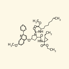 C=CCCCCCC(NC(=O)N1CC(Oc2cc(-c3ccccc3)nc3cc(OC)ccc23)CC1C(=O)NC1(C(=O)OCC)CC1C=C)C(=O)OC